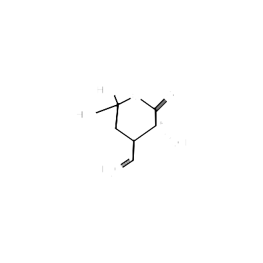 C=CC1CC(C)(C)OC(=O)[C@@H]1O